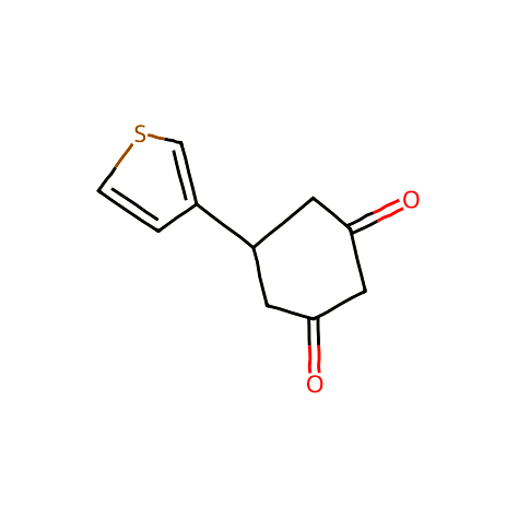 O=C1CC(=O)CC(c2ccsc2)C1